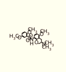 COc1ccc(OC)c(S(=O)(=O)Nc2ccc(OC)c3c2OC[C@H](N(C)C)C3)c1